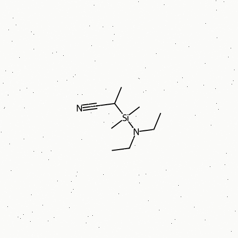 CCN(CC)[Si](C)(C)C(C)C#N